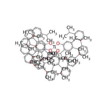 CC(C)c1ccccc1-c1cc([O][Ti]([O]c2cc(-c3ccccc3C(C)C)c(-c3ccccc3C(C)C)c(-c3ccccc3C(C)C)c2C(C)C)([O]c2cc(-c3ccccc3C(C)C)c(-c3ccccc3C(C)C)c(-c3ccccc3C(C)C)c2C(C)C)[O]c2cc(-c3ccccc3C(C)C)c(-c3ccccc3C(C)C)c(-c3ccccc3C(C)C)c2C(C)C)c(C(C)C)c(-c2ccccc2C(C)C)c1-c1ccccc1C(C)C